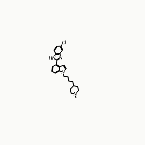 CN1CCC(CCCCn2ccc3c(-c4nc5cc(Cl)ccc5[nH]4)cccc32)CC1